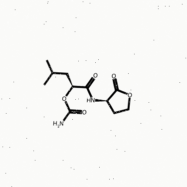 CC(C)C[C@H](OC(N)=O)C(=O)N[C@@H]1CCOC1=O